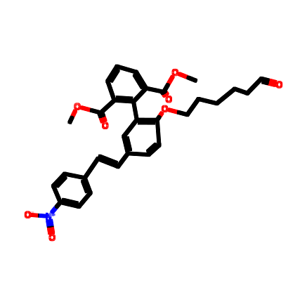 COC(=O)c1cccc(C(=O)OC)c1-c1cc(C=Cc2ccc([N+](=O)[O-])cc2)ccc1OCCCCCC=O